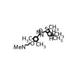 CNCCCOc1c(C)cc(-c2noc(-c3sc(C)c4c3C[C@@H]3[C@H]4C3(C)C)n2)cc1C